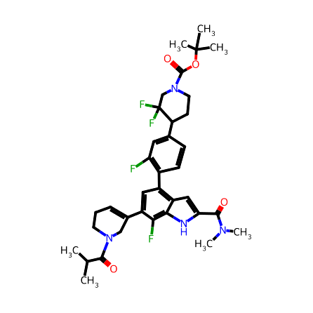 CC(C)C(=O)N1CCC=C(c2cc(-c3ccc(C4CCN(C(=O)OC(C)(C)C)CC4(F)F)cc3F)c3cc(C(=O)N(C)C)[nH]c3c2F)C1